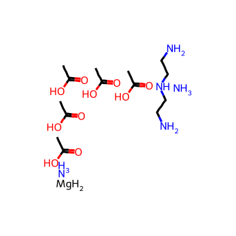 CC(=O)O.CC(=O)O.CC(=O)O.CC(=O)O.CC(=O)O.N.N.NCCNCCN.[MgH2]